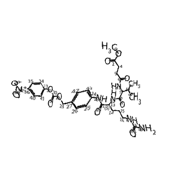 COC(=O)CCC(=O)NC(C(=O)N[C@@H](CCCNC(N)=O)C(=O)Nc1ccc(COC(=O)Oc2ccc([N+](=O)[O-])cc2)cc1)C(C)C